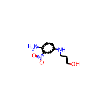 Nc1ccc(NCC=CO)cc1[N+](=O)[O-]